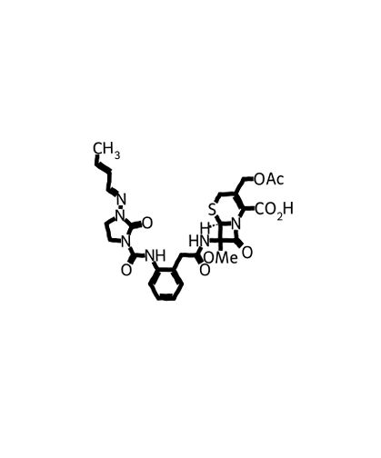 C/C=C/C=N/N1CCN(C(=O)Nc2ccccc2CC(=O)NC2(OC)C(=O)N3C(C(=O)O)=C(COC(C)=O)CS[C@@H]32)C1=O